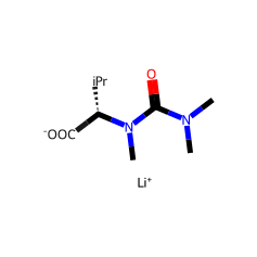 CC(C)[C@@H](C(=O)[O-])N(C)C(=O)N(C)C.[Li+]